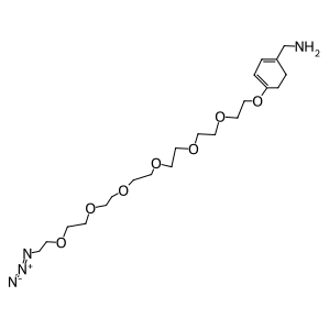 [N-]=[N+]=NCCOCCOCCOCCOCCOCCOCCOC1=CC=C(CN)CC1